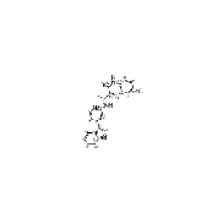 CC(Nc1nccc(-c2cnc3ccccn23)n1)c1cc2cc(Cl)ccc2[nH]c1=O